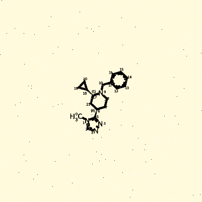 Cn1cnnc1[C@@H]1CCN(Cc2ccccc2)[C@H](C2CC2)C1